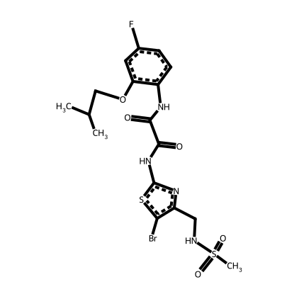 CC(C)COc1cc(F)ccc1NC(=O)C(=O)Nc1nc(CNS(C)(=O)=O)c(Br)s1